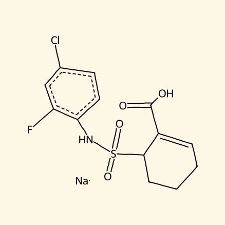 O=C(O)C1=CCCCC1S(=O)(=O)Nc1ccc(Cl)cc1F.[Na]